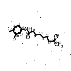 Cc1ccc(NC(=O)CCCCCCC(=O)C(F)(F)F)cc1C